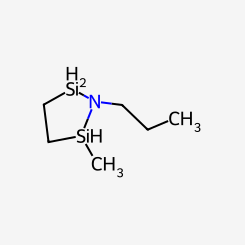 CCCN1[SiH2]CC[SiH]1C